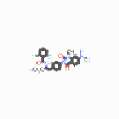 CCNc1ccc2c(=O)n(-c3ccc(C[C@H](NC(=O)c4c(Cl)cccc4Cl)C(=O)O)cc3)c(=O)n(C)c2c1